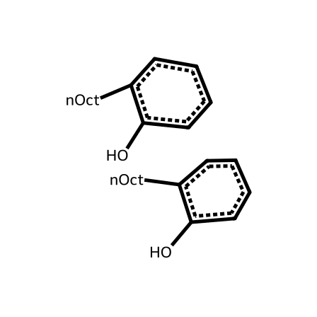 CCCCCCCCc1ccccc1O.CCCCCCCCc1ccccc1O